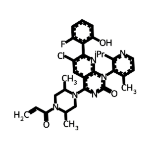 C=CC(=O)N1CC(C)N(c2nc(=O)n(-c3c(C)ccnc3C(C)C)c3nc(-c4c(O)cccc4F)c(Cl)cc23)CC1C